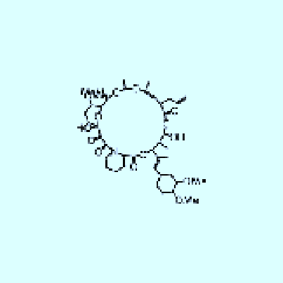 C=CCC1C=C(C)CC(C)CC(OC)C2OC(O)(C(=O)C(=O)N3CCCCC3C(=O)OC(C(C)=CC3CCC(OC)C(OC)C3)C(C)C(O)CC1=O)C(C)CC2OC